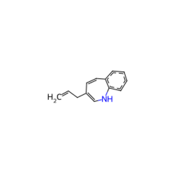 C=CCC1=CNc2ccccc2C=C1